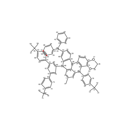 Cc1cc2c3c(c1)N(c1ccc(C(C)(C)C)cc1)c1c(ccc4c1OCCO4)B3c1ccc(N(c3ccccc3)c3ccccc3)cc1N2c1cc(-c2ccc(C(C)(C)C)cc2)cc(-c2ccc(C(C)(C)C)cc2)c1